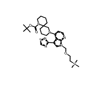 CC(C)(C)OC(=O)N1CCCCC12CCCN(c1ccnc3c1c(-c1ncsn1)cn3COCC[Si](C)(C)C)C2